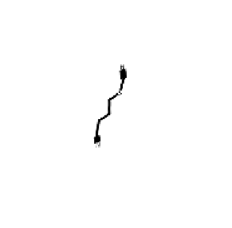 N#CCCCSC#N